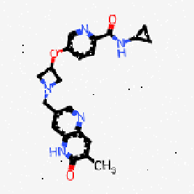 Cc1cc2ncc(CN3CC(Oc4ccc(C(=O)NC5CC5)nc4)C3)cc2[nH]c1=O